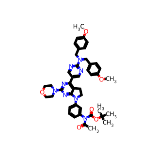 COc1ccc(CN(Cc2ccc(OC)cc2)c2ncc(-c3nc(N4CCOCC4)nc4c3CCN4c3cccc(N(C(C)=O)C(=O)OC(C)(C)C)c3)cn2)cc1